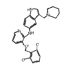 Clc1cccc(Cl)c1COc1cccnc1Nc1ccc2[nH]cc(CN3CCCCC3)c2c1